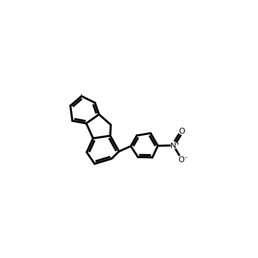 O=[N+]([O-])c1ccc(-c2[c]ccc3c2Cc2c[c]ccc2-3)cc1